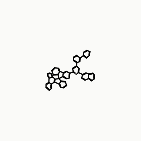 c1ccc(-c2cccc(-c3cc(-c4ccc5c(c4)-c4ccccc4C54c5ccccc5-c5c4c4ccccc4c4ccccc54)nc(-c4ccc5ccccc5c4)c3)c2)cc1